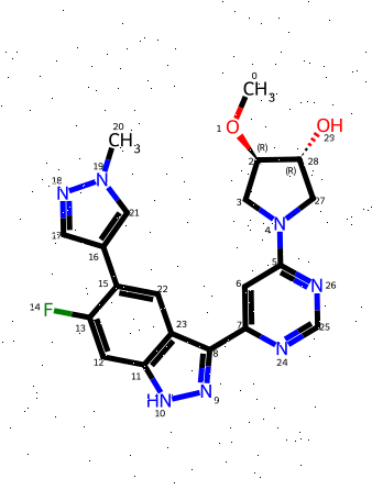 CO[C@@H]1CN(c2cc(-c3n[nH]c4cc(F)c(-c5cnn(C)c5)cc34)ncn2)C[C@H]1O